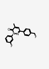 Cc1cc(-c2ccc(CF)cc2)nn(-c2cccc(F)c2)c1=O